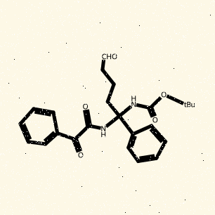 CC(C)(C)OC(=O)NC(CCCC=O)(NC(=O)C(=O)c1ccccc1)c1ccccc1